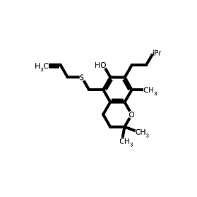 C=CCSCc1c(O)c(CCC(C)C)c(C)c2c1CCC(C)(C)O2